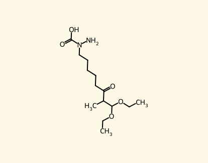 CCOC(OCC)C(C)C(=O)CCCCCN(N)C(=O)O